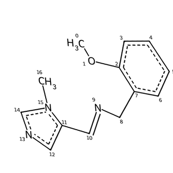 COc1ccccc1CN=Cc1cncn1C